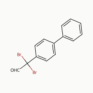 O=CC(Br)(Br)c1ccc(-c2ccccc2)cc1